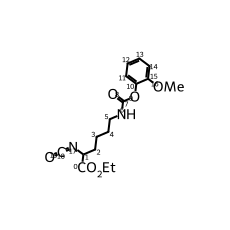 CCOC(=O)C(CCCCNC(=O)Oc1ccccc1OC)N=C=O